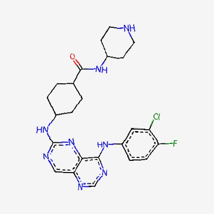 O=C(NC1CCNCC1)C1CCC(Nc2ncc3ncnc(Nc4ccc(F)c(Cl)c4)c3n2)CC1